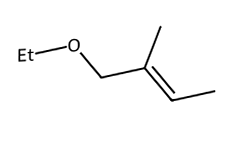 C/C=C(\C)COCC